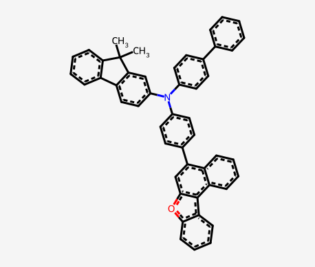 CC1(C)c2ccccc2-c2ccc(N(c3ccc(-c4ccccc4)cc3)c3ccc(-c4cc5oc6ccccc6c5c5ccccc45)cc3)cc21